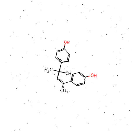 CC(=CC(C)(C)c1ccc(O)cc1)c1ccc(O)cc1